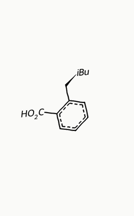 CC[C@H](C)Cc1ccccc1C(=O)O